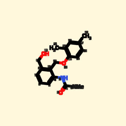 CNC(=O)Nc1cccc(CO)c1COc1ccc(C)cc1C